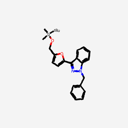 CC(C)(C)[Si](C)(C)OCc1ccc(-c2nn(Cc3ccccc3)c3ccccc23)o1